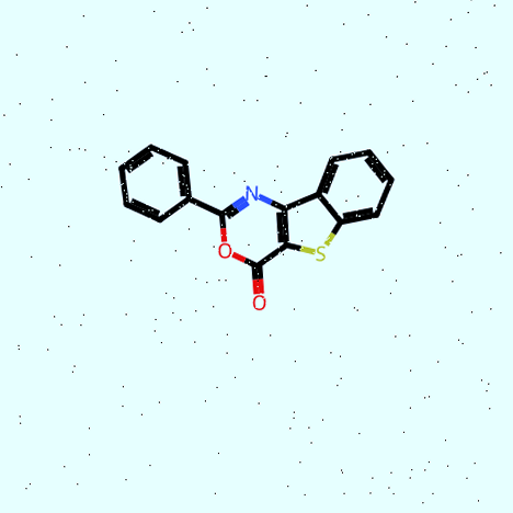 O=c1oc(-c2ccccc2)nc2c1sc1ccccc12